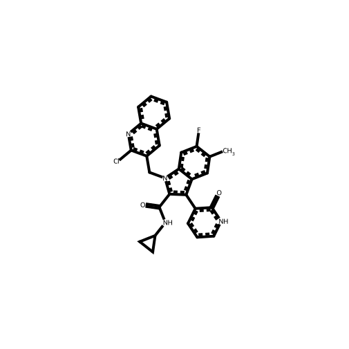 Cc1cc2c(-c3ccc[nH]c3=O)c(C(=O)NC3CC3)n(Cc3cc4ccccc4nc3Cl)c2cc1F